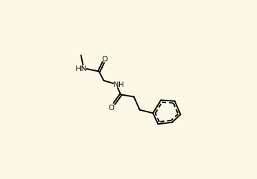 CNC(=O)CNC(=O)CCc1ccccc1